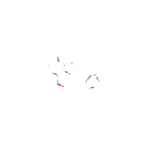 O=C(O)C1=CNC(=O)N2C[C@H](Cc3ccccc3)N=C12